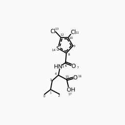 CC(C)CC(NC(=O)c1cc(Cl)c(Cl)s1)C(=O)O